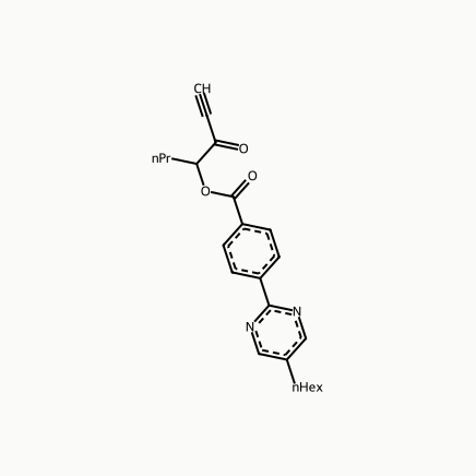 C#CC(=O)C(CCC)OC(=O)c1ccc(-c2ncc(CCCCCC)cn2)cc1